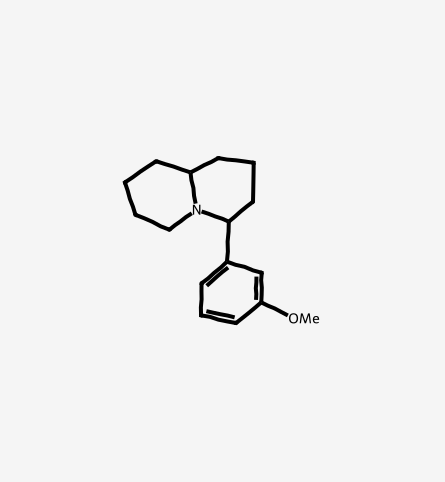 COc1cccc(C2CCCC3CCCCN32)c1